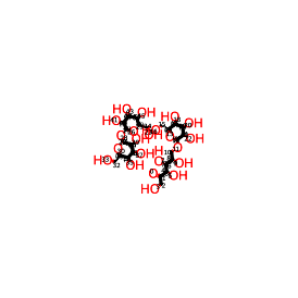 O=C(CO)[C@@H](O)[C@H](O)[C@H](O)CO[C@H]1O[C@H](CO)[C@@H](O)[C@H](O)[C@H]1O.OC[C@H]1O[C@H](O[C@H]2O[C@H](CO)[C@@H](O)[C@H](O)[C@H]2O)[C@H](O)[C@@H](O)[C@@H]1O